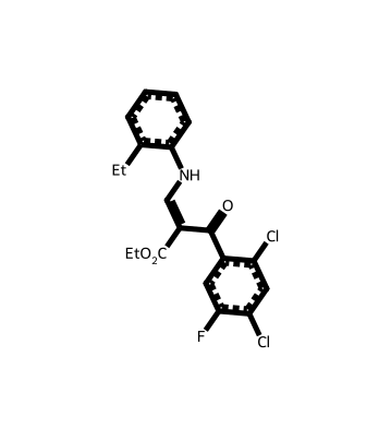 CCOC(=O)C(=CNc1ccccc1CC)C(=O)c1cc(F)c(Cl)cc1Cl